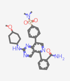 COC1CCC(Nc2ncc3c(-c4ccccc4C(N)=O)ncc(-c4ccc(S(=O)(=O)N(C)C)cc4)c3n2)CC1